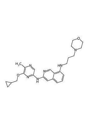 Cc1ncc(Nc2cc3cccc(NCCCN4CCOCC4)c3cn2)nc1OCC1CC1